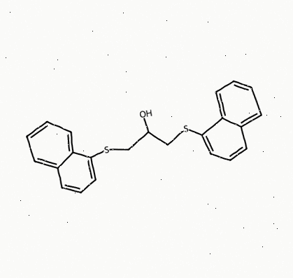 OC(CSc1cccc2ccccc12)CSc1cccc2ccccc12